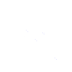 NCc1ccc2c(c1)nc(CN1C(=O)C3(CCCC3)c3c(F)cc(F)cc31)n2CCCC(F)(F)F